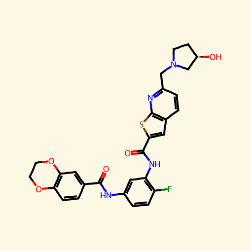 O=C(Nc1ccc(F)c(NC(=O)c2cc3ccc(CN4CC[C@@H](O)C4)nc3s2)c1)c1ccc2c(c1)OCCO2